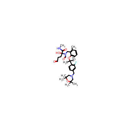 BC(B)(Oc1cccc(C)c1CN(C=O)C(O)(CCC=O)C(=O)NC)c1ccc(CN2CC(C)(C)OC(C)(C)C2)cc1F